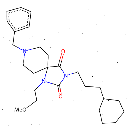 COCCN1C(=O)N(CCCC2CCCCC2)C(=O)C12CCN(Cc1ccccc1)CC2